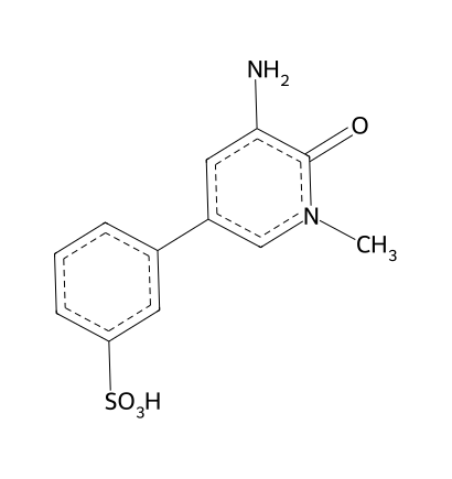 Cn1cc(-c2cccc(S(=O)(=O)O)c2)cc(N)c1=O